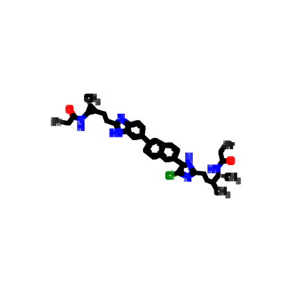 CC(C)CC(=O)NC1C(CCc2nc3ccc(-c4ccc5cc(-c6[nH]c(CCC(C)[C@@H](C)NC(=O)CC(C)C)nc6Cl)ccc5c4)cc3[nH]2)[C@H]1C